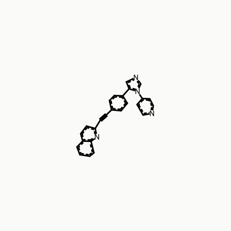 C(#Cc1ccc2ccccc2n1)c1ccc(-c2cncn2-c2ccncc2)cc1